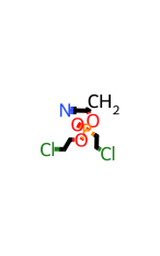 C=C(C#N)OP(=O)(CCCl)OCCCl